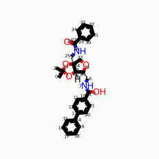 CC1(C)O[C@@H]2[C@@H](CNC(O)c3ccc(-c4ccccc4)cc3)OC[C@]2(CNC(=O)c2ccccc2)O1